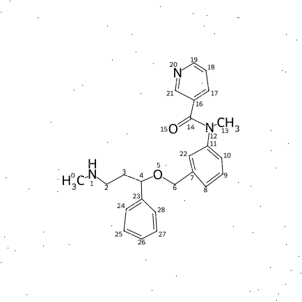 CNCCC(OCc1cccc(N(C)C(=O)c2cccnc2)c1)c1ccccc1